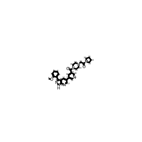 COc1ccccc1-c1n[nH]c2ncc(-c3cncc(C(=O)N4CCN(CC(=O)N5CCCC5)CC4)c3)cc12